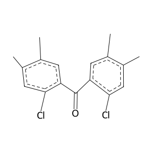 Cc1cc(Cl)c(C(=O)c2cc(C)c(C)cc2Cl)cc1C